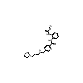 C=C(Nc1ccccc1NC(=O)c1ccc(CNCCCN2CCCC2)cn1)OC(C)(C)C